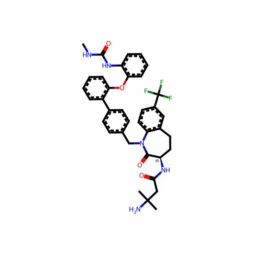 CNC(=O)Nc1ccccc1Oc1ccccc1-c1ccc(CN2C(=O)[C@H](NC(=O)CC(C)(C)N)CCc3cc(C(F)(F)F)ccc32)cc1